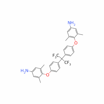 Cc1cc(N)cc(C)c1Oc1ccc(C(c2ccc(Oc3c(C)cc(N)cc3C)cc2)(C(F)(F)F)C(F)(F)F)cc1